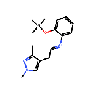 Cc1nn(C)cc1CC=Nc1ccccc1O[Si](C)(C)C